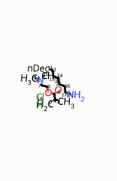 C=C(C)C(=O)OCCN(C)C.CCCCCCCCCCCCCCCCN.Cl